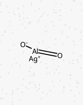 [Ag+].[O]=[Al][O-]